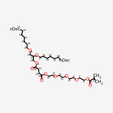 C=C(C)C(=O)OCCOCCOCCOCCOC(=O)CCC(=O)OCC(COCCCCCCCCCCCCCCCC)OCCCCCCCCCCCCCCCC